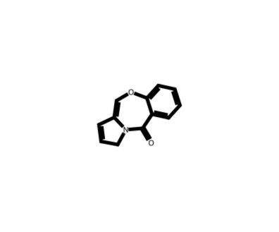 O=C1c2ccccc2OC=C2C=CCN12